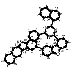 c1ccc(-c2nc(-c3cccc4ccccc34)nc(-c3cccc4oc5ccc(-c6ccc7sc8cc9ccccc9cc8c7c6)cc5c34)n2)cc1